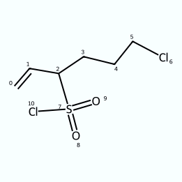 C=CC(CCCCl)S(=O)(=O)Cl